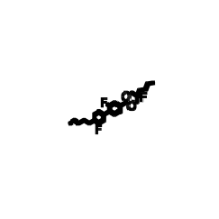 C/C=C/CCc1ccc(-c2ccc(C3OCC(F)(CCCC)CO3)cc2F)cc1F